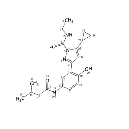 CCNC(=O)n1nc(-c2cc(NC(=O)CC(C)C)ccc2O)cc1C1CC1